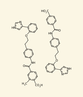 Cc1cc(C(=O)Nc2ccc(CCOc3ccccc3-c3c[nH]cn3)cc2)ccc1C(=O)O.O=C(O)c1ccc(C(=O)Nc2ccc(CCOc3ccccc3-c3c[nH]cn3)cc2)cc1